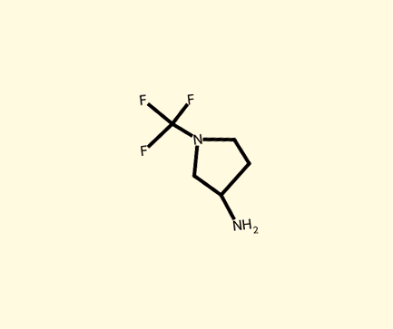 NC1CCN(C(F)(F)F)C1